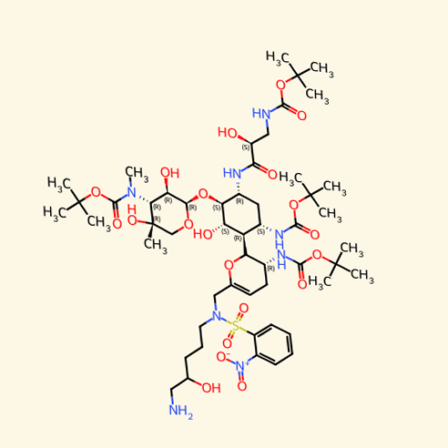 CN(C(=O)OC(C)(C)C)[C@@H]1[C@@H](O)[C@@H](O[C@@H]2[C@@H](O)[C@H](C3OC(CN(CCCC(O)CN)S(=O)(=O)c4ccccc4[N+](=O)[O-])=CC[C@H]3NC(=O)OC(C)(C)C)[C@@H](NC(=O)OC(C)(C)C)C[C@H]2NC(=O)[C@@H](O)CNC(=O)OC(C)(C)C)OC[C@]1(C)O